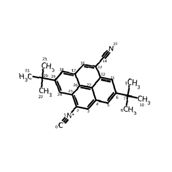 [C-]#[N+]c1cc2cc(C(C)(C)C)cc3c(C#N)cc4cc(C(C)(C)C)cc1c4c23